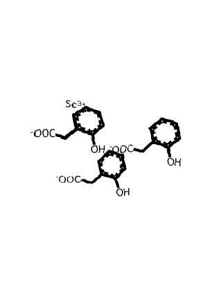 O=C([O-])Cc1ccccc1O.O=C([O-])Cc1ccccc1O.O=C([O-])Cc1ccccc1O.[Sc+3]